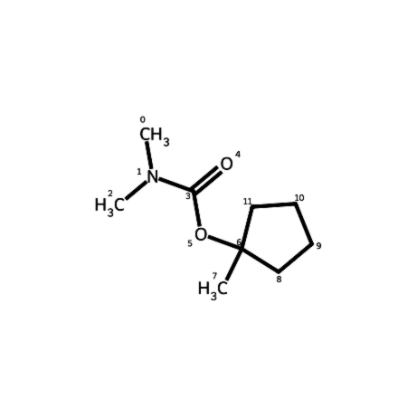 CN(C)C(=O)OC1(C)CCCC1